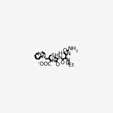 CCO/N=C(\C(=O)N[C@@H]1C(=O)N2C(C(=O)[O-])=C(Cn3cc[n+]4ccccc34)CS[C@@H]12)c1coc(N)n1